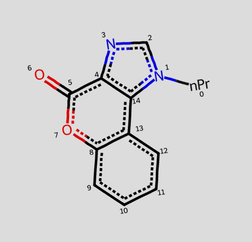 CCCn1cnc2c(=O)oc3ccccc3c21